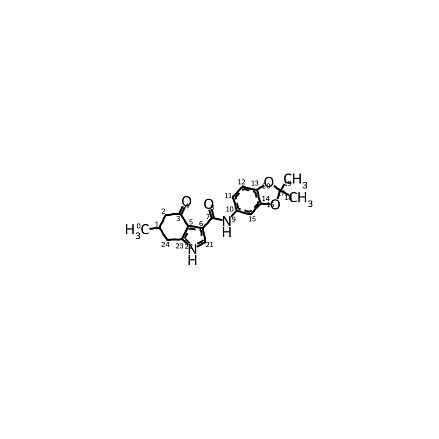 CC1CC(=O)c2c(C(=O)Nc3ccc4c(c3)OC(C)(C)O4)c[nH]c2C1